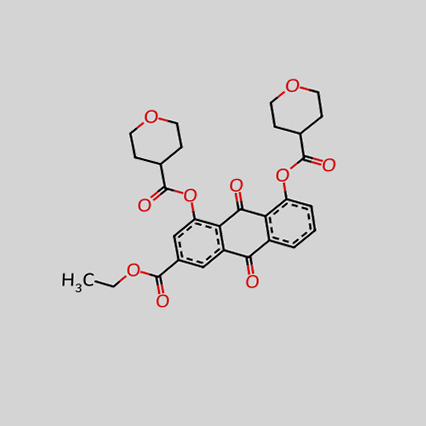 CCOC(=O)c1cc(OC(=O)C2CCOCC2)c2c(c1)C(=O)c1cccc(OC(=O)C3CCOCC3)c1C2=O